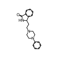 O=C1NC(CCN2CCN(c3ccccc3)CC2)c2ccccc21